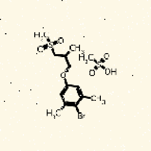 CS(=O)(=O)O.Cc1cc(OCC(C)CS(C)(=O)=O)cc(C)c1Br